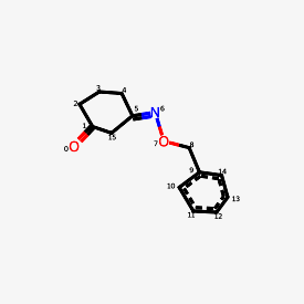 O=C1CCCC(=NOCc2ccccc2)C1